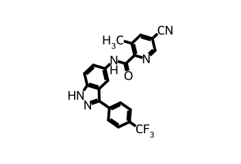 Cc1cc(C#N)cnc1C(=O)Nc1ccc2[nH]nc(-c3ccc(C(F)(F)F)cc3)c2c1